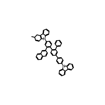 CC1C=Cc2c(c3ccccc3n2-c2ccc(-c3ccc(-c4ccc(-n5c6ccccc6c6ccccc65)cc4)cc3-c3ccccc3)c(-c3ccc4ccccc4c3)c2)C1